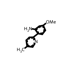 COc1ccc(-c2ccc(C)cn2)c(N)c1